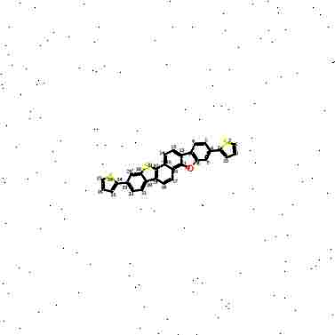 c1csc(-c2ccc3c(c2)oc2c3ccc3c2ccc2c4ccc(-c5cccs5)cc4sc23)c1